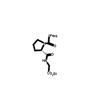 CCCCCC(=O)N1CCC[C@H]1C(=O)NCC(=O)OCC